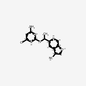 CC(Sc1nc(N)cc(Cl)n1)c1cc2c(C#N)coc2cn1